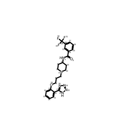 O=C(NC1CCN(CCCOc2ccccc2-c2nnn[nH]2)CC1)c1cccc(C(F)(F)F)c1